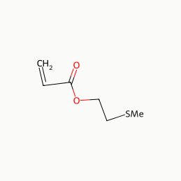 C=CC(=O)OCCSC